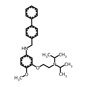 COc1ccc(NCc2ccc(-c3ccccc3)cc2)cc1OCCN(C(C)C)C(C)C